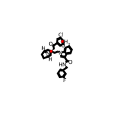 COc1cccc2c(C(=O)NCc3cccc(F)c3)cn(CCCN3[C@@H]4CC[C@H]3C[C@@H](CC(=O)c3cccc(Cl)c3)C4)c12